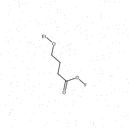 CCOCCCC(=O)OF